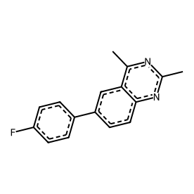 Cc1nc(C)c2cc(-c3ccc(F)cc3)ccc2n1